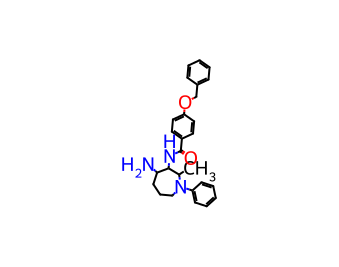 CC1C(NC(=O)c2ccc(OCc3ccccc3)cc2)C(N)CCCN1c1ccccc1